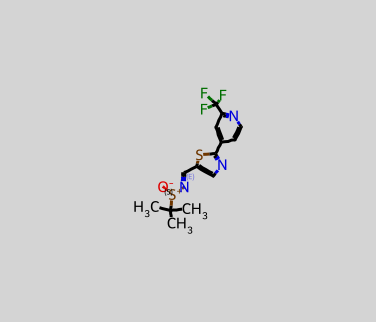 CC(C)(C)[S@@+]([O-])/N=C/c1cnc(-c2ccnc(C(F)(F)F)c2)s1